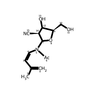 C=C(C)/C=C\N(C(C)=O)C1O[C@H](CO)C(O)[C@@H]1C#N